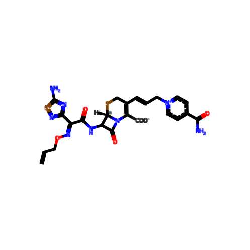 C=CCON=C(C(=O)NC1C(=O)N2C(C(=O)[O-])=C(C=CC[n+]3ccc(C(N)=O)cc3)CS[C@@H]12)c1nsc(N)n1